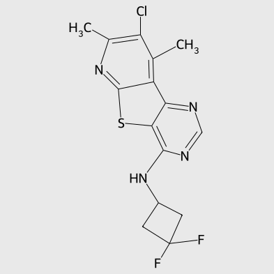 Cc1nc2sc3c(NC4CC(F)(F)C4)ncnc3c2c(C)c1Cl